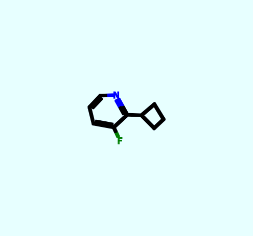 Fc1cccnc1C1CCC1